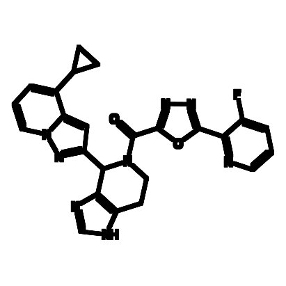 O=C(c1nnc(-c2ncccc2F)o1)N1CCc2[nH]cnc2C1c1cc2c(C3CC3)cccn2n1